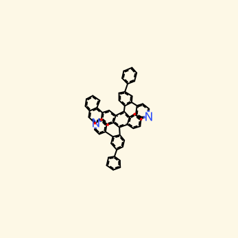 c1ccc(-c2ccc(-c3c4ccccc4c(-c4ccc(-c5ccccc5)cc4-c4ccncc4)c4cc5c(ccc6ccccc65)cc34)c(-c3ccncc3)c2)cc1